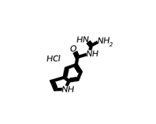 Cl.N=C(N)NC(=O)c1ccc2[nH]ccc2c1